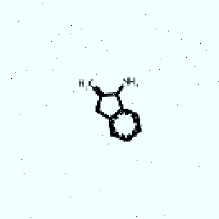 C=C1Cc2ccccc2C1N